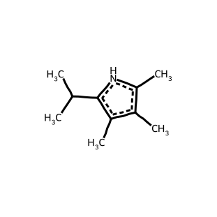 Cc1[nH]c(C(C)C)c(C)c1C